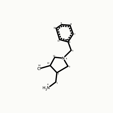 NCC1CN(Cc2ccccc2)CC1Cl